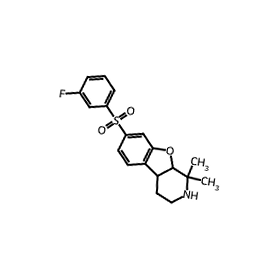 CC1(C)NCCC2c3ccc(S(=O)(=O)c4cccc(F)c4)cc3OC21